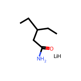 CCC(CC)CC(N)=O.[LiH]